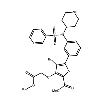 COC(=O)c1sc(-c2cccc(N(C3CCNCC3)S(=O)(=O)c3ccccc3)c2)c(Br)c1OCC(=O)OC(C)(C)C